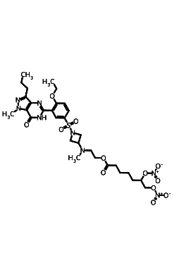 CCCc1nn(C)c2c(=O)[nH]c(-c3cc(S(=O)(=O)N4CC(N(C)CCOC(=O)CCCCC(CO[N+](=O)[O-])O[N+](=O)[O-])C4)ccc3OCC)nc12